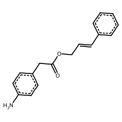 Nc1ccc([CH]C(=O)OCC=Cc2ccccc2)cc1